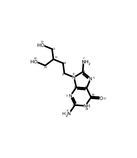 Nc1nc2c(nc(N)n2CCC(CO)CO)c(=O)[nH]1